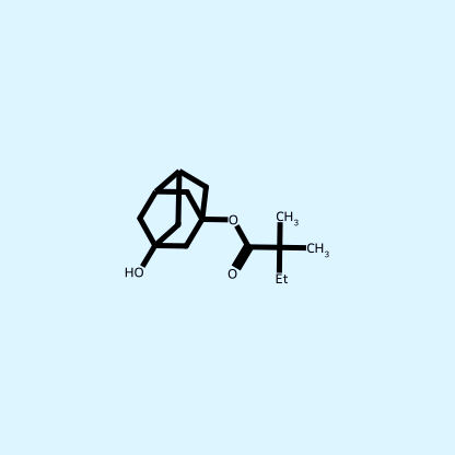 CCC(C)(C)C(=O)OC12CC3CC(O)(CC3C1)C2